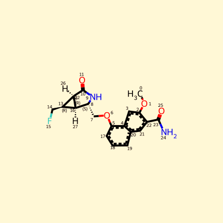 COc1cc2c(OC[C@H]3NC(=O)[C@@H]4[C@H](CF)[C@@H]43)cccc2cc1C(N)=O